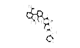 CCc1c(-c2c(C(N)=O)cccc2C(F)(F)F)cccc1-c1nc2cnc(Nc3cccnc3)nc2n(C)c1=O